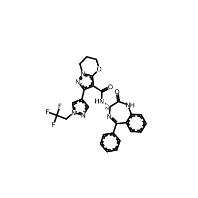 O=C(N[C@H]1N=C(c2ccccc2)c2ccccc2NC1=O)c1c(-c2cnn(CC(F)(F)F)c2)nn2c1OCCC2